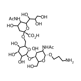 CC(=O)NC1[C@H](OCCCN)OC(CO)[C@@H](O[C@@H]2OC(CO[C@]3(C(=O)O)CC(O)[C@@H](NC(C)=O)C(C(O)C(O)CO)O3)[C@H](O)[C@H](O)C2O)[C@@H]1O